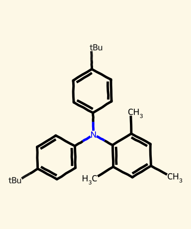 Cc1cc(C)c(N(c2ccc(C(C)(C)C)cc2)c2ccc(C(C)(C)C)cc2)c(C)c1